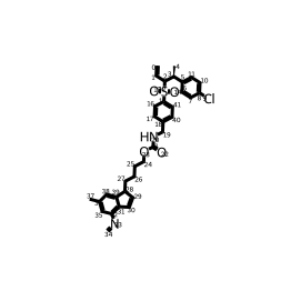 C=CC([C@@H](C)c1ccc(Cl)cc1)S(=O)(=O)c1ccc(CNC(=O)OCCCCC2C=Cc3c(N=C)cc(C)cc32)cc1